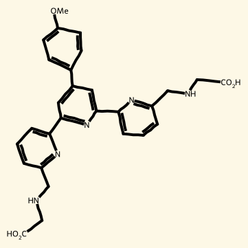 COc1ccc(-c2cc(-c3cccc(CNCC(=O)O)n3)nc(-c3cccc(CNCC(=O)O)n3)c2)cc1